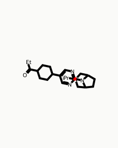 CCC(=O)C1CCC(c2cnc(N3C4CCC3CN(C(C)C)C4)nc2)CC1